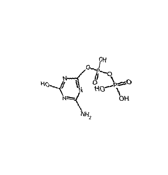 Nc1nc(O)nc(OP(=O)(O)OP(=O)(O)O)n1